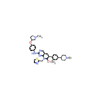 CCN1CCC(c2ccc(-c3cc4cnc(Nc5ccc(OC6CCN(C)C6)cc5)nc4n(Cc4nccs4)c3=O)c(C)c2)CC1